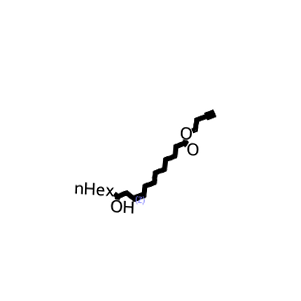 C#CCCOC(=O)CCCCCCC/C=C\CC(O)CCCCCC